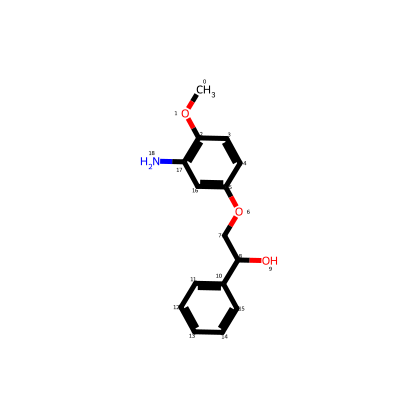 COc1ccc(OCC(O)c2ccccc2)cc1N